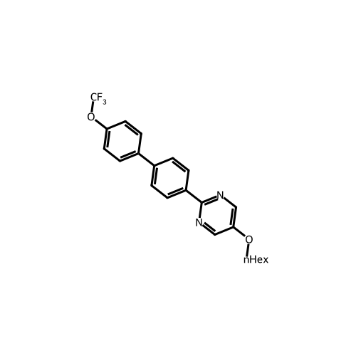 CCCCCCOc1cnc(-c2ccc(-c3ccc(OC(F)(F)F)cc3)cc2)nc1